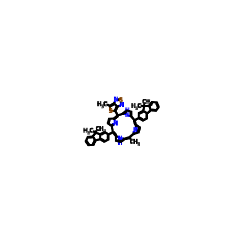 Cc1sc(-c2c3nc(c(-c4ccc5c(c4)C(C)(C)c4ccccc4-5)c4ccc([nH]4)c(C)c4nc(c(-c5ccc6c(c5)C(C)(C)c5ccccc5-6)c5ccc2[nH]5)C=C4)C=C3)c2c1N=S=N2